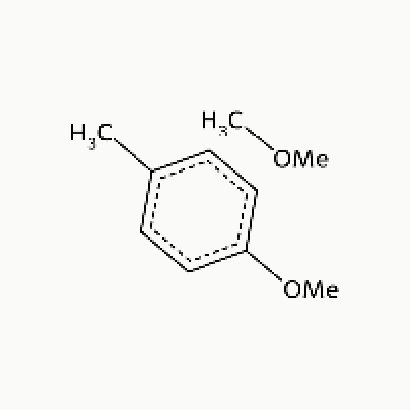 COC.COc1ccc(C)cc1